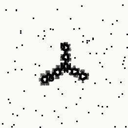 c1ccc(-c2ccc(-c3nc(-c4ccc(-c5cccnc5)cc4)nc(-c4ccc(-c5cc6ccccc6o5)cc4)n3)cc2)cc1